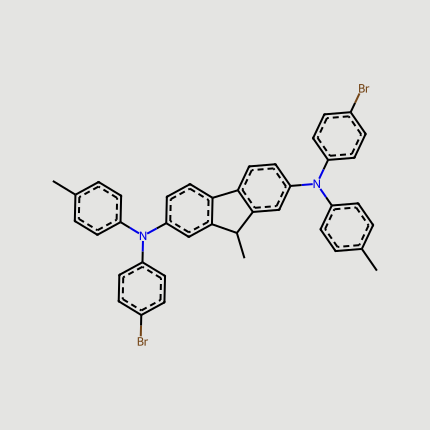 Cc1ccc(N(c2ccc(Br)cc2)c2ccc3c(c2)C(C)c2cc(N(c4ccc(C)cc4)c4ccc(Br)cc4)ccc2-3)cc1